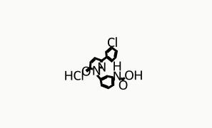 Cl.O=C(O)Nc1cccc(Cn2nc(-c3cccc(Cl)c3)ccc2=O)c1